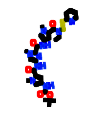 CCN(SSc1ccccn1)C(=O)c1cc(NC(=O)c2nc(NC(=O)c3cc(NC(=O)OC(C)(C)C)cn3C)cn2C)cn1C